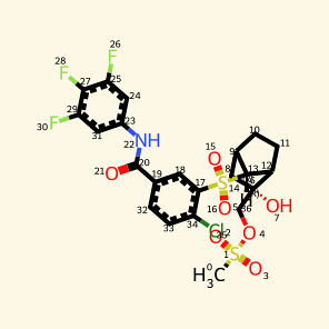 CS(=O)(=O)OC[C@@]1(O)CC2CCC1[C@@H]2S(=O)(=O)c1cc(C(=O)Nc2cc(F)c(F)c(F)c2)ccc1Cl